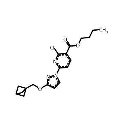 CCCCOC(=O)c1ccc(-n2ccc(OCC34CC(C3)C4)n2)nc1Cl